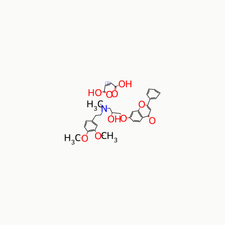 COc1ccc(CCN(C)CC(O)COc2ccc3c(=O)cc(-c4ccccc4)oc3c2)cc1OC.O=C(O)/C=C\C(=O)O